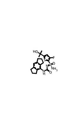 CC(C)(O)c1cc(F)c([S@](N)(=O)=NC(=O)Nc2c3c(cc4c2CCC4)CCC3)s1